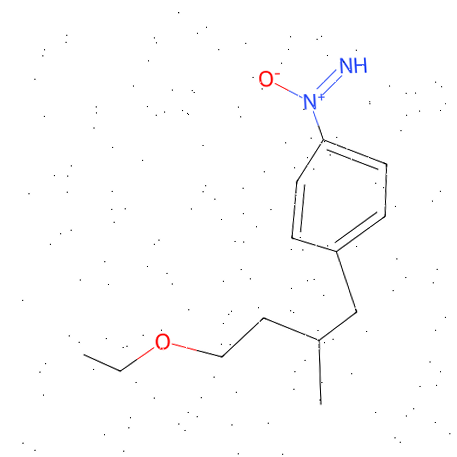 CCOCCC(C)Cc1ccc([N+](=N)[O-])cc1